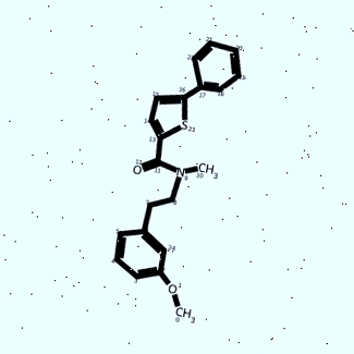 COc1cccc(CCN(C)C(=O)c2ccc(-c3ccccc3)s2)c1